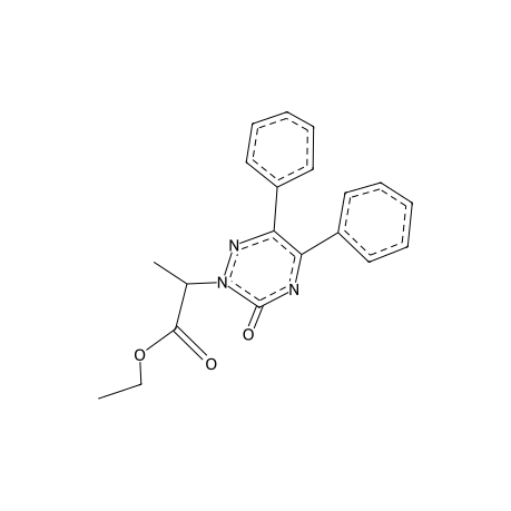 CCOC(=O)C(C)n1nc(-c2ccccc2)c(-c2ccccc2)nc1=O